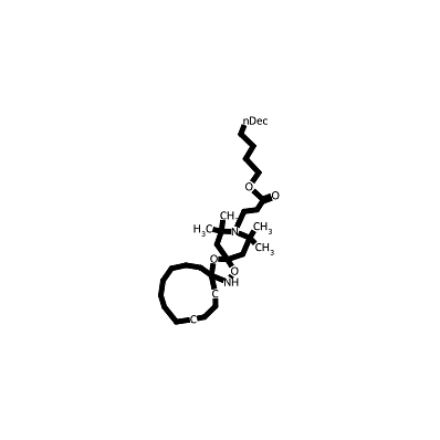 CCCCCCCCCCCCCCOC(=O)CCN1C(C)(C)CC2(CC1(C)C)ONC1(CCCCCCCCCCC1)O2